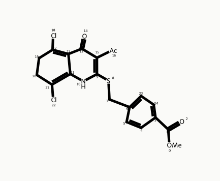 COC(=O)c1ccc(CSc2[nH]c3c(c(=O)c2C(C)=O)=C(Cl)CCC=3Cl)cc1